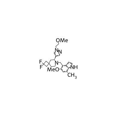 COCCn1cc([C@@H]2CC3(CCN2Cc2c(OC)cc(C)c4[nH]ccc24)CC(F)(F)C3)cn1